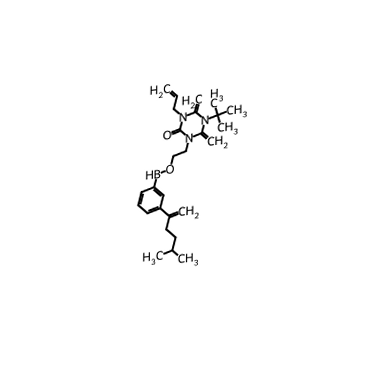 C=CCN1C(=C)N(C(C)(C)C)C(=C)N(CCOBc2cccc(C(=C)CCC(C)C)c2)C1=O